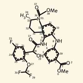 COC(=O)c1cccc(Nc2ccc3c(c2NC(=O)C(O)c2cc(F)ccc2OC(F)F)CC[C@H](C)N3C(=O)OC)c1